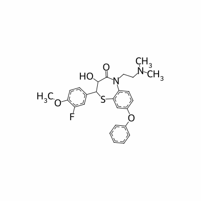 COc1ccc(C2Sc3cc(Oc4ccccc4)ccc3N(CCN(C)C)C(=O)C2O)cc1F